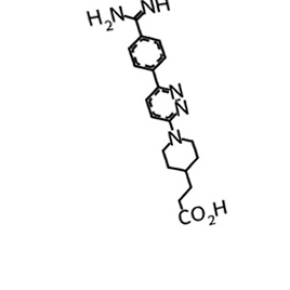 N=C(N)c1ccc(-c2ccc(N3CCC(CCC(=O)O)CC3)nn2)cc1